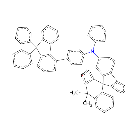 CC1(C)c2ccccc2C2(c3ccccc3-c3ccc(N(c4ccccc4)c4ccc(-c5cccc6c5-c5ccccc5C6(c5ccccc5)c5ccccc5)cc4)cc32)c2ccccc21